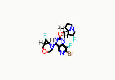 [2H]C([2H])(Oc1nc(N2CCOC[C@H]3[C@H](F)[C@H]32)c2cnc(Br)c(F)c2n1)[C@@]12CCCN1C[C@H](F)C2